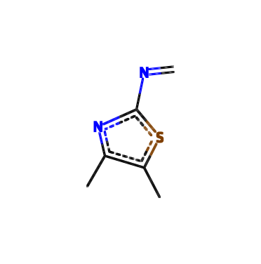 C=Nc1nc(C)c(C)s1